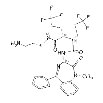 CN1C(=O)[C@@H](NC(=O)[C@@H](CCC(F)(F)F)[C@@H](CCC(F)(F)F)C(=O)NSCCN)N=C(c2ccccc2)c2ccccc21